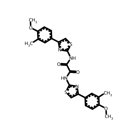 COc1ccc(-c2csc(NC(=O)C(=O)Nc3nc(-c4ccc(OC)c(C)c4)cs3)n2)cc1C